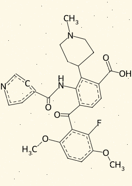 COc1ccc(OC)c(C(=O)c2ccc(C(=O)O)c(C3CCN(C)CC3)c2NC(=O)c2ccncc2)c1F